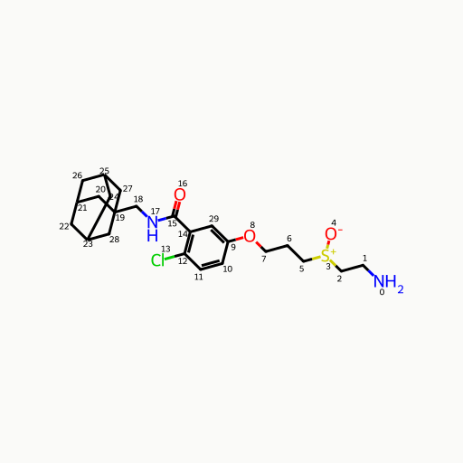 NCC[S+]([O-])CCCOc1ccc(Cl)c(C(=O)NCC23CC4CC(CC(C4)C2)C3)c1